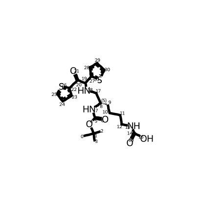 CC(C)(C)OC(=O)N[C@@H](CCCCNC(=O)O)CNC(C(=O)c1cccs1)c1cccs1